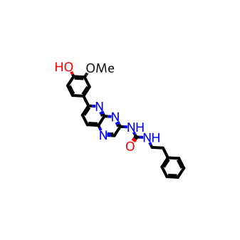 COc1cc(-c2ccc3ncc(NC(=O)NCCc4ccccc4)nc3n2)ccc1O